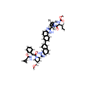 CC[C@H](C)[C@H](NC(=O)OC)C(=O)N1[C@H](c2nc3ccc4cc(-c5ccc6c(ccc7nc([C@@H]8C[C@H](COC)CN8C(=O)[C@H](NC(=O)C8CC8)c8ccccc8)[nH]c76)c5)ccc4c3[nH]2)C2[C@@H]3[C@H]1[C@]23C